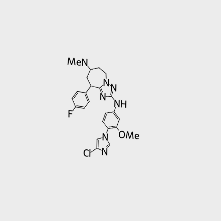 CNC1CCn2nc(Nc3ccc(-n4cnc(Cl)c4)c(OC)c3)nc2C(c2ccc(F)cc2)C1